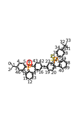 CC(C)c1ccc(P2(=O)c3ccccc3-c3cc(-c4ccc5c(c4)P(=S)(c4ccc(C(C)(C)C)cc4)c4ccccc4-5)ccc32)cc1